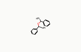 CCCC(OC(CCC)c1ccccc1)c1ccccc1